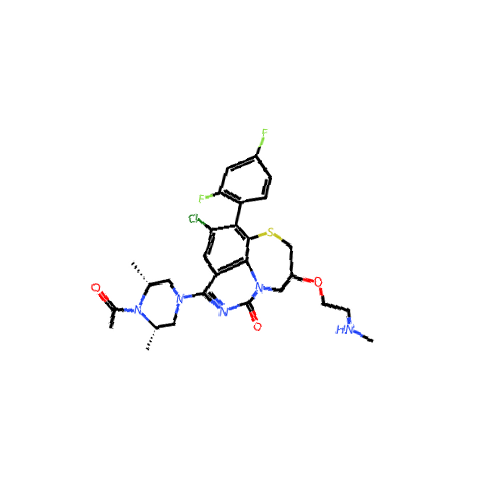 CNCCOC1CSc2c(-c3ccc(F)cc3F)c(Cl)cc3c(N4C[C@@H](C)N(C(C)=O)[C@@H](C)C4)nc(=O)n(c23)C1